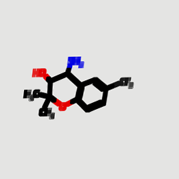 CC1(C)Oc2ccc(C(F)(F)F)cc2C(N)C1O